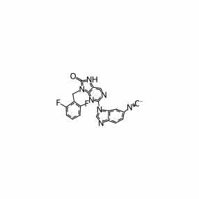 [C-]#[N+]c1ccc2ncn(-c3ncc4[nH]c(=O)n(Cc5c(F)cccc5F)c4n3)c2c1